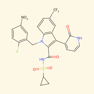 O=C(NS(=O)(=O)C1CC1)c1c(-c2ccc[nH]c2=O)c2cc(C(F)(F)F)ccc2n1Cc1cc([N+](=O)[O-])ccc1F